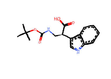 CC(C)(C)OC(=O)NC[C@@H](C(=O)O)c1c[nH]c2ccccc12